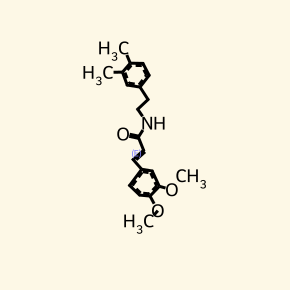 COc1ccc(/C=C/C(=O)NCCc2ccc(C)c(C)c2)cc1OC